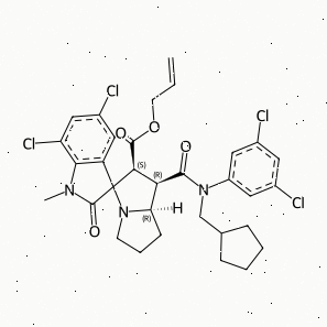 C=CCOC(=O)[C@H]1[C@@H](C(=O)N(CC2CCCC2)c2cc(Cl)cc(Cl)c2)[C@H]2CCCN2C12C(=O)N(C)c1c(Cl)cc(Cl)cc12